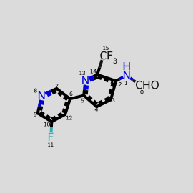 O=CNc1ccc(-c2cncc(F)c2)nc1C(F)(F)F